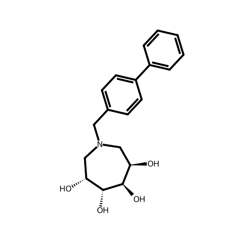 O[C@H]1[C@H](O)[C@H](O)CN(Cc2ccc(-c3ccccc3)cc2)C[C@H]1O